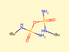 CC(C)(C)NP(N)(=O)OP(N)(=O)NC(C)(C)C